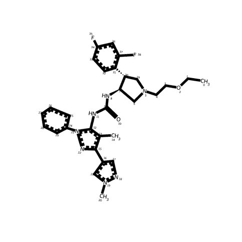 CCOCCN1C[C@@H](NC(=O)Nc2c(C)c(-c3cnn(C)c3)nn2-c2ccccc2)[C@H](c2ccc(F)cc2F)C1